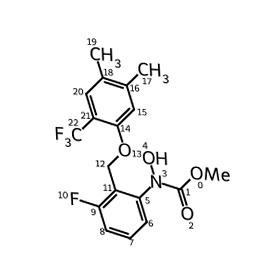 COC(=O)N(O)c1cccc(F)c1COc1cc(C)c(C)cc1C(F)(F)F